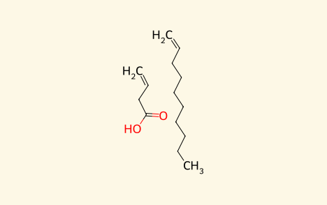 C=CCC(=O)O.C=CCCCCCCCC